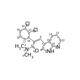 CN(C)C(=O)C(=Cc1c[nH]c2ncccc12)c1cccc(Cl)c1Cl